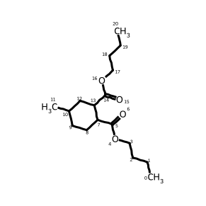 CCCCOC(=O)C1CCC(C)CC1C(=O)OCCCC